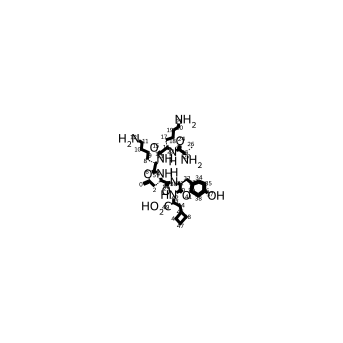 C=CC[C@H](NC(=O)[C@H](CCCCN)NC(=O)[C@H](CCCCN)NC(=O)[C@H](C)N)C(=O)N[C@@H](Cc1ccc(O)cc1)C(=O)N[C@@H](CC1CCC1)C(=O)O